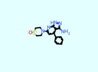 Nc1n[nH]c2nc(N3CC[S+]([O-])CC3)cc(-c3ccccc3)c12